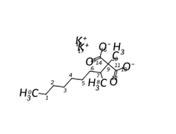 CCCCCCCC(C)C(C)(C(=O)[O-])C(=O)[O-].[K+].[K+]